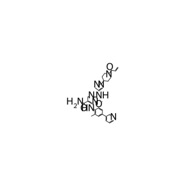 C=CC(=O)N1CCC(n2cc(Nc3ncc(C(N)=O)c(Nc4c(C)cc(-c5cccnc5)cc4OC)n3)cn2)CC1